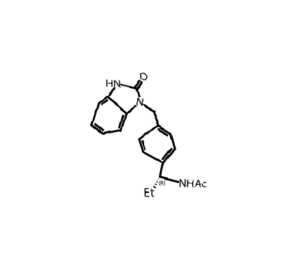 CC[C@@H](NC(C)=O)c1ccc(Cn2c(=O)[nH]c3ccccc32)cc1